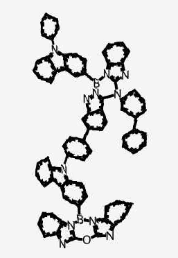 c1ccc(-c2cccc(N3c4c5ccc(-c6ccc(-n7c8ccccc8c8cc(B9n%10c(nc%11ccccc%11%10)Oc%10nc%11ccccc%11n%109)ccc87)cc6)cc5nn4B(c4ccc5c(c4)c4ccccc4n5-c4ccccc4)n4c3nc3ccccc34)c2)cc1